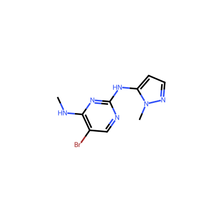 CNc1nc(Nc2ccnn2C)ncc1Br